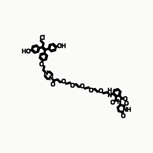 O=C1CCC(N2C(=O)c3cccc(NCCOCCOCCOCCOCCOCCC(=O)N4CCN(CCOc5ccc(C(=C(CCCl)c6ccc(O)cc6)c6ccc(O)cc6)cc5)CC4)c3C2=O)C(=O)N1